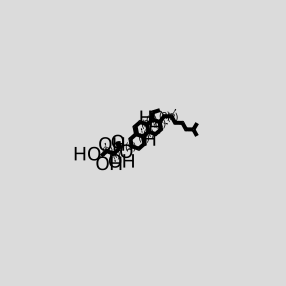 CC(C)CCC[C@@H](C)[C@H]1CC[C@@H]2[C@H]3CC=C4C[C@@H](OC(=O)[C@H](O)[C@@H](O)C(O)O)CC[C@]4(C)[C@@H]3CC[C@@]21C